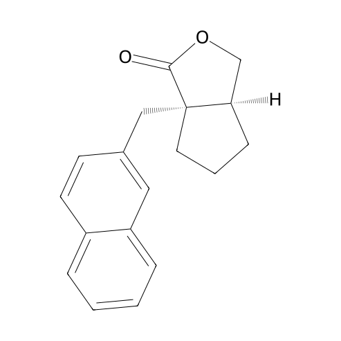 O=C1OC[C@H]2CCC[C@@]12Cc1ccc2ccccc2c1